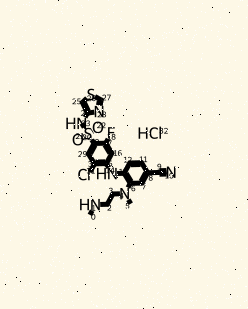 CNCCN(C)c1cc(C#N)ccc1Nc1cc(F)c(S(=O)(=O)Nc2cscn2)cc1Cl.Cl